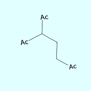 CC(=O)CCC(C(C)=O)C(C)=O